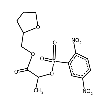 CC(OS(=O)(=O)c1cc([N+](=O)[O-])ccc1[N+](=O)[O-])C(=O)OCC1CCCO1